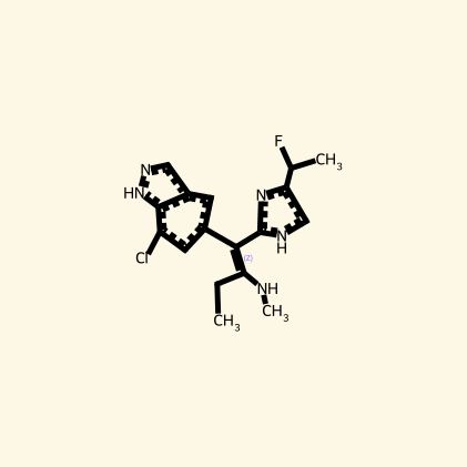 CC/C(NC)=C(\c1cc(Cl)c2[nH]ncc2c1)c1nc(C(C)F)c[nH]1